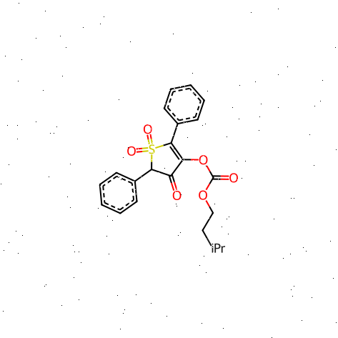 CC(C)CCOC(=O)OC1=C(c2ccccc2)S(=O)(=O)C(c2ccccc2)C1=O